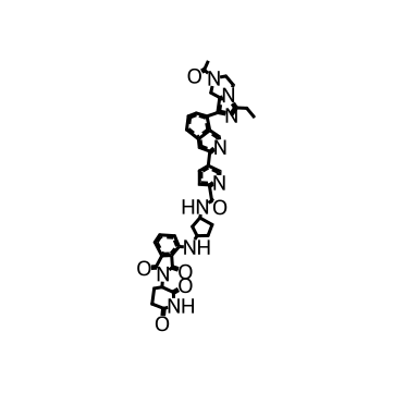 CCc1nc(-c2cccc3cc(-c4ccc(C(=O)NC5CCC(Nc6cccc7c6C(=O)N(C6CCC(=O)NC6=O)C7=O)C5)nc4)ncc23)c2n1CCN(C(C)=O)C2